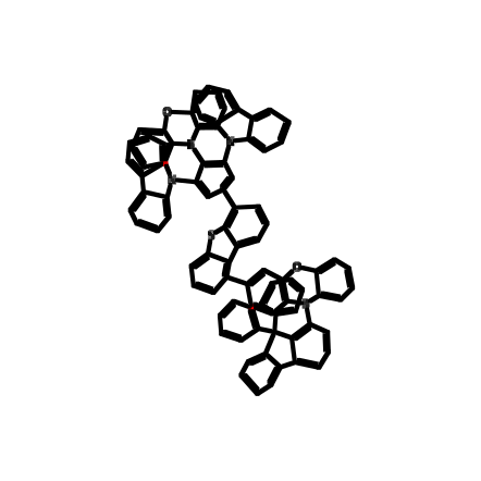 c1ccc(C2(c3ccccc3)c3ccccc3-c3cccc(B4c5ccccc5Oc5cc(-c6cccc7sc8c(-c9cc(-n%10c%11ccccc%11c%11ccccc%11%10)c(B%10c%11ccccc%11Oc%11ccccc%11%10)c(-n%10c%11ccccc%11c%11ccccc%11%10)c9)cccc8c67)ccc54)c32)cc1